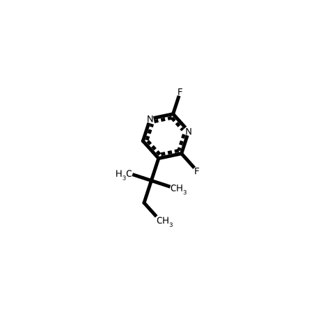 CCC(C)(C)c1cnc(F)nc1F